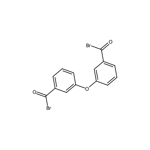 O=C(Br)c1cccc(Oc2cccc(C(=O)Br)c2)c1